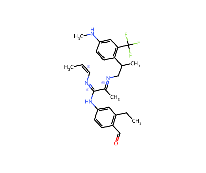 C\C=C/N=C(Nc1ccc(C=O)c(CC)c1)\C(C)=N\CC(C)c1ccc(NC)cc1C(F)(F)F